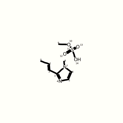 CC=Cc1nccn1C.COS(=O)(=O)O